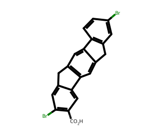 O=C(O)c1cc2c(cc1Br)Cc1cc3c(cc1-2)Cc1cc(Br)ccc1-3